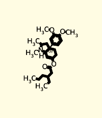 CCCC(CC)CC(=O)OC1=C[C@@H]2N(C)C(C)C[C@]2(c2ccc(OC)c(OC)c2)CC1